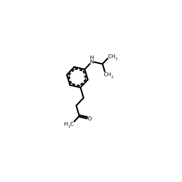 CC(=O)CCc1cccc(NC(C)C)c1